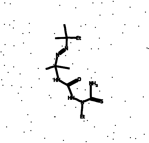 CCN(NC(=O)NC(C)(C)N=NC(C)(C)CC)C(N)=S